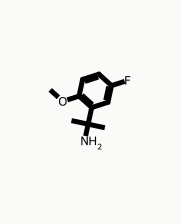 COc1ccc(F)cc1C(C)(C)N